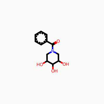 O=C(c1ccccc1)N1CC(O)C(O)C(O)C1